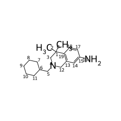 CC1(C)CN(CC2CCCCC2)Cc2cc(N)ccc21